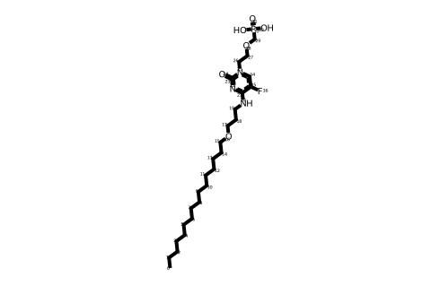 CCCCCCCCCCCCCCCCOCCCNc1nc(=O)n(CCOCP(=O)(O)O)cc1F